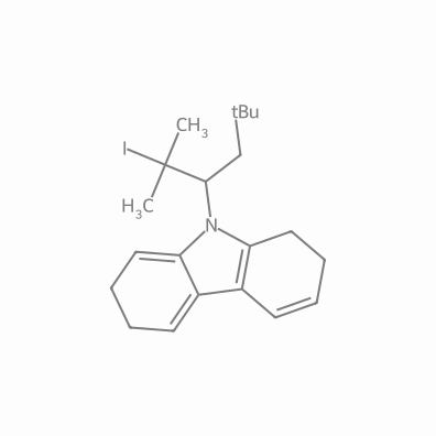 CC(C)(C)CC(n1c2c(c3c1=CCCC=3)C=CCC2)C(C)(C)I